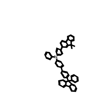 CC1(C)c2ccccc2-c2ccc(-c3ccc(N(c4ccccc4)c4ccc(-c5ccc(C6(c7ccccc7)c7ccccc7-c7ccccc76)cc5)cc4)cc3)cc21